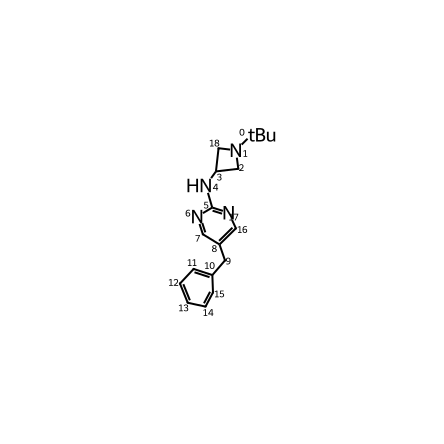 CC(C)(C)N1CC(Nc2ncc(Cc3ccccc3)cn2)C1